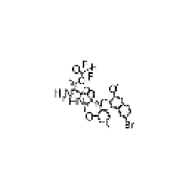 COc1cc2ccc(Br)cc2cc1CN1C(=O)[C@@H](NC(=O)[C@@H](N)[C@@H](C)OC(=O)C(F)(F)F)COc2cc(C)ccc21